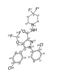 O=C(NN1CCC(F)(F)CC1)c1nn(-c2ccccc2Cl)c(-c2ccc(Cl)cc2)c1OC(F)F